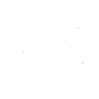 COc1ccc(N(c2ccc(C)cc2)c2ccc3c(c2)C2(c4cc(N(c5ccc(C)cc5)c5ccc(OC)cc5)ccc4-c4ccc(N(c5ccc(OC)cc5)c5ccc(OC)cc5)cc42)c2cc(N(c4ccc(OC)cc4)c4ccc(OC)cc4)ccc2-3)cc1